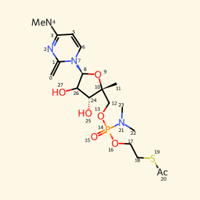 C=C1N=C(NC)C=CN1[C@H]1O[C@](C)(COP(=O)(OCCSC(C)=O)N(C)C)[C@H](O)C1O